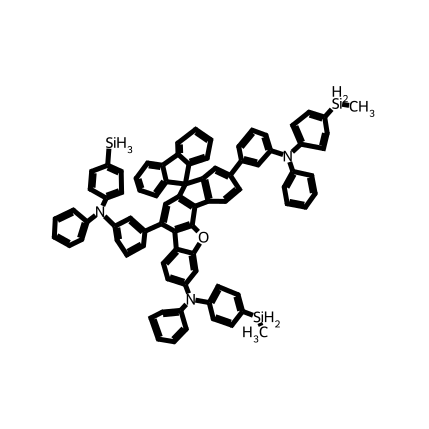 C[SiH2]c1ccc(N(c2ccccc2)c2cccc(-c3ccc4c(c3)C3(c5ccccc5-c5ccccc53)c3cc(-c5cccc(N(c6ccccc6)c6ccc([SiH3])cc6)c5)c5c(oc6cc(N(c7ccccc7)c7ccc([SiH2]C)cc7)ccc65)c3-4)c2)cc1